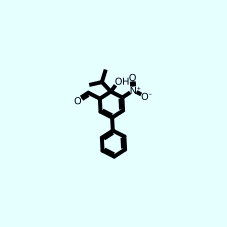 CC(C)C1(O)C([N+](=O)[O-])=CC(c2ccccc2)=CC1C=O